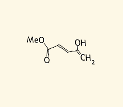 C=C(O)/C=C/C(=O)OC